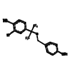 COc1ccc(COC(c2ccc(O)c(Cl)c2)(C(F)(F)F)C(F)(F)F)cc1